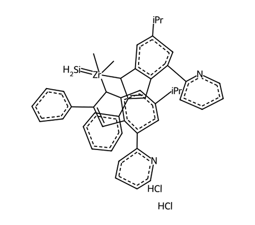 CC(C)c1cc(-c2ccccn2)c2c(c1)[CH]([Zr]([CH3])([CH3])(=[SiH2])[CH]1C(c3ccccc3)=Cc3c(-c4ccccn4)cc(C(C)C)cc31)C(c1ccccc1)=C2.Cl.Cl